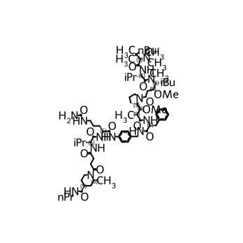 CCCCC(C)(C)[C@@H](C(=O)N[C@H](C(=O)N(C)[C@@H]([C@@H](C)CC)[C@@H](CC(=O)N1CCC[C@H]1[C@H](OC)[C@@H](C)C(=O)N[C@@H](Cc1ccccc1)C(=O)NCc1ccc(NC(=O)[C@H](CCCNC(N)=O)NC(=O)[C@@H](NC(=O)CCC(=O)N2CC[C@H](C(=O)NCCC)C[C@@H]2C)C(C)C)cc1)OC)C(C)C)N(C)C